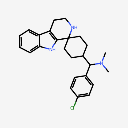 CN(C)C(c1ccc(Cl)cc1)C1CCC2(CC1)NCCc1c2[nH]c2ccccc12